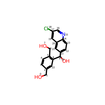 OCc1ccc(CO)c(C(O)c2ccc3ncc(Cl)cc3c2)c1